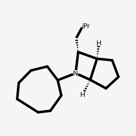 CC(C)C[C@@H]1[C@H]2CCC[C@H]2N1C1CCCCCCC1